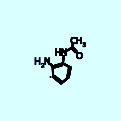 CC(=O)Nc1ccc[c]c1N